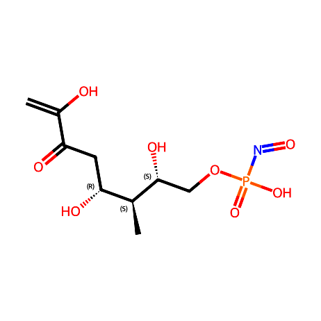 C=C(O)C(=O)C[C@@H](O)[C@H](C)[C@H](O)COP(=O)(O)N=O